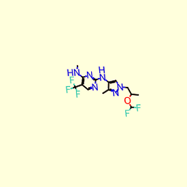 CNc1nc(Nc2cn(CC(C)OC(F)F)nc2C)ncc1C(F)(F)F